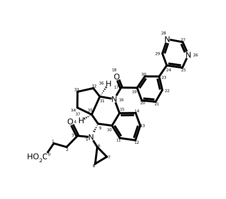 O=C(O)CCC(=O)N(C1CC1)[C@H]1c2ccccc2N(C(=O)c2cccc(-c3cncnc3)c2)[C@@H]2CCC[C@@H]21